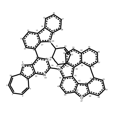 C1=CC=Cc2c(oc3c(-c4cccc5c6ccccc6n(C6C=CCCC6)c45)nc(-n4c5ccc6cccc7c6c5c5c6c(ccc54)oc4cccc-7c46)nc23)C=1